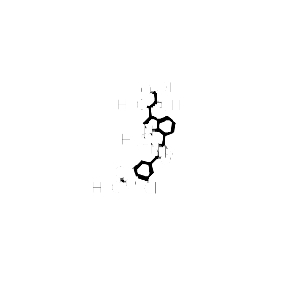 CC(C)Oc1ccc(-c2nc(-c3cccc4c(C(C)[C@@H](C)C(=O)O)cn(C)c34)no2)cc1Cl